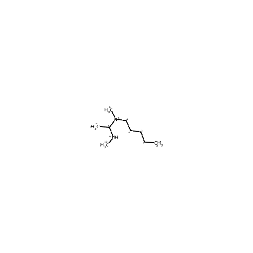 CCCCCN(C)C(C)NC